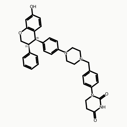 O=C1CCN(c2ccc(CN3CCN(c4ccc([C@@H]5c6ccc(O)cc6OC[C@@H]5c5ccccc5)cc4)CC3)cc2)C(=O)N1